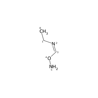 CC/N=C\ON